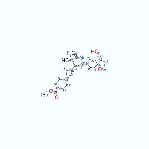 CC(C)(C)OC(=O)N1CCN(C2CN(c3cc(N4CCC5(CCCO5)[C@@H](CO)C4)nc(C(F)(F)F)c3C#N)C2)CC1